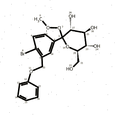 COOC1(c2ccc(Br)c(COc3ccccc3)c2)O[C@H](CO)[C@@H](O)[C@H](O)[C@H]1O